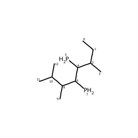 CCC(C)C(P)C(P)C(C)C(C)C